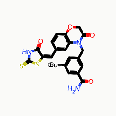 CC(C)(C)c1cc(CN2C(=O)COc3ccc(/C=C4/SC(=S)NC4=O)cc32)cc(C(N)=O)c1